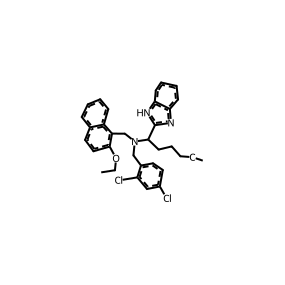 CCCCCC(c1nc2ccccc2[nH]1)N(Cc1ccc(Cl)cc1Cl)Cc1c(OCC)ccc2ccccc12